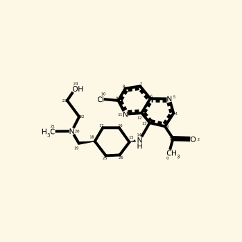 CC(=O)c1cnc2ccc(Cl)nc2c1N[C@H]1CC[C@H](CN(C)CCO)CC1